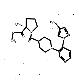 COC(=O)[C@@]1(C)CCCN1C(=O)C1CCN(c2cnccc2-n2cc(C)cn2)CC1